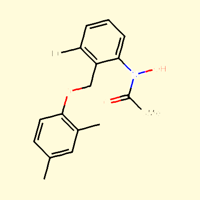 CCc1cccc(N(O)C(=O)SC)c1COc1ccc(C)cc1C